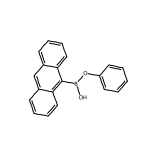 OB(Oc1ccccc1)c1c2ccccc2cc2ccccc12